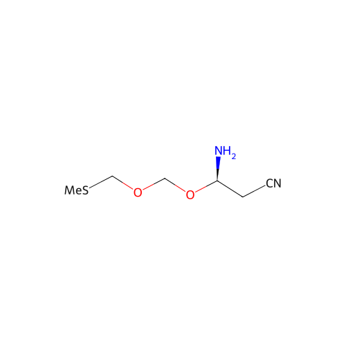 CSCOCO[C@@H](N)CC#N